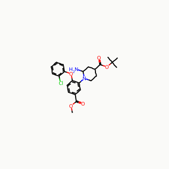 COC(=O)c1ccc(Oc2ccccc2Cl)c(N2CCC(C(=O)OC(C)(C)C)CC2N)c1